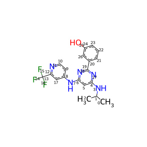 CC(C)Nc1cc(Nc2ccnc(C(F)(F)F)c2)nc(-c2cccc(O)c2)n1